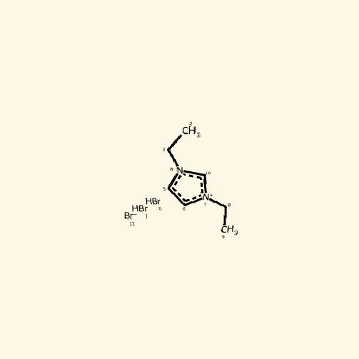 Br.Br.CCn1cc[n+](CC)c1.[Br-]